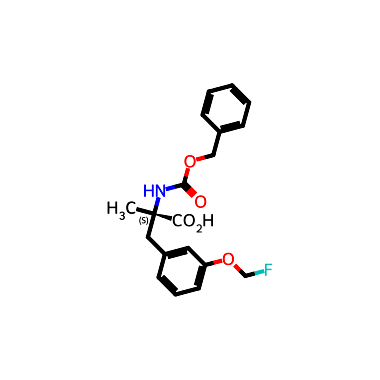 C[C@@](Cc1cccc(OCF)c1)(NC(=O)OCc1ccccc1)C(=O)O